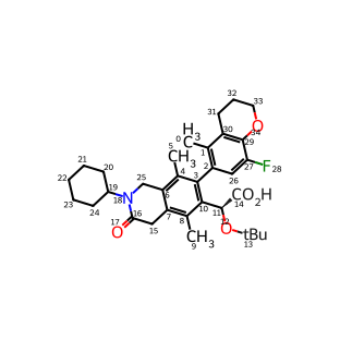 Cc1c(-c2c(C)c3c(c(C)c2[C@H](OC(C)(C)C)C(=O)O)CC(=O)N(C2CCCCC2)C3)cc(F)c2c1CCCO2